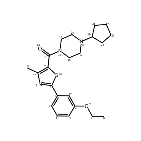 CCOc1cccc(-c2nc(C)c(C(=O)N3CCN(C4CCCC4)CC3)s2)c1